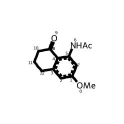 COc1cc2c(c(NC(C)=O)c1)C(=O)CCC2